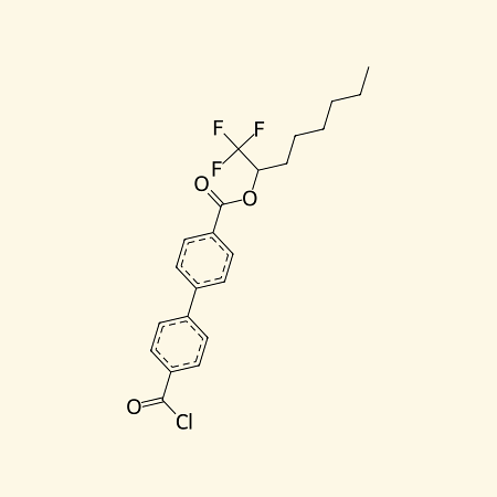 CCCCCCC(OC(=O)c1ccc(-c2ccc(C(=O)Cl)cc2)cc1)C(F)(F)F